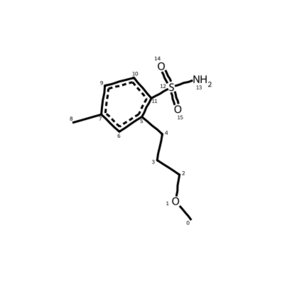 COCCCc1cc(C)ccc1S(N)(=O)=O